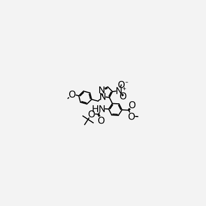 COC(=O)c1ccc(NC(=O)OC(C)(C)C)c(-c2c([N+](=O)[O-])cnn2Cc2ccc(OC)cc2)c1